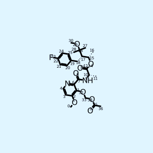 COc1ccnc(C(=O)N[C@@H](C)C(=O)O[C@@H](C)[C@H](Cc2ccc(F)cc2)C(C)(C)OC)c1OCOC(C)=O